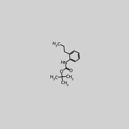 CCCc1ccccc1NC(=O)OC(C)(C)C